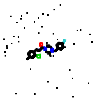 Cc1ccc(/C=C/C(=O)N2C[C@H](C)N(Cc3ccc(F)cc3)C[C@H]2C)c(Cl)c1